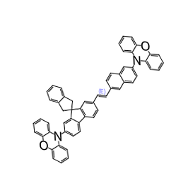 C(=C\c1ccc2cc(N3c4ccccc4Oc4ccccc43)ccc2c1)/c1ccc2c(c1)C1(Cc3ccccc3C1)c1cc(N3c4ccccc4Oc4ccccc43)ccc1-2